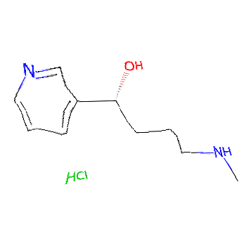 CNCCC[C@@H](O)c1cccnc1.Cl